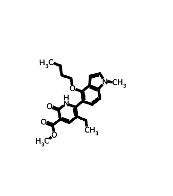 CCCCOc1c(-c2[nH]c(=O)c(C(=O)OC)cc2CC)ccc2c1ccn2C